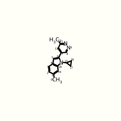 Cc1ccc2cc(-c3cnnc(C)c3)n(C3CC3)c2c1